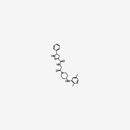 Cc1ccc(C)c(NC2CCN(C(=O)CNC(=O)C3=NNC(c4ccccc4)C3)CC2)c1